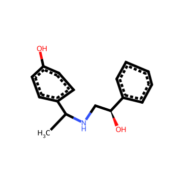 CC(NC[C@H](O)c1ccccc1)c1ccc(O)cc1